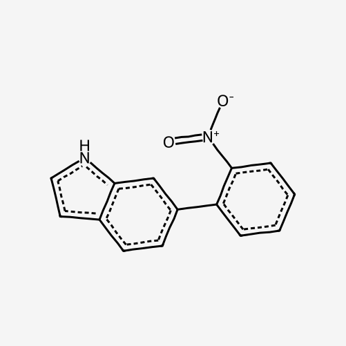 O=[N+]([O-])c1ccccc1-c1ccc2cc[nH]c2c1